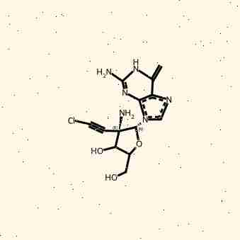 C=C1NC(N)=Nc2c1ncn2[C@@H]1OC(CO)C(O)[C@]1(N)C#CCl